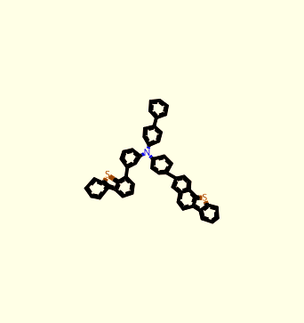 c1ccc(-c2ccc(N(c3ccc(-c4ccc5c(ccc6c7ccccc7sc56)c4)cc3)c3cccc(-c4cccc5c4sc4ccccc45)c3)cc2)cc1